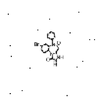 O=C1NNC2=CC(=O)N(c3ccccc3)c3cc(Br)ccc3N12